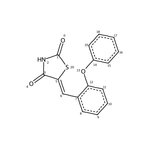 O=C1NC(=O)C(=Cc2ccccc2Oc2ccccc2)S1